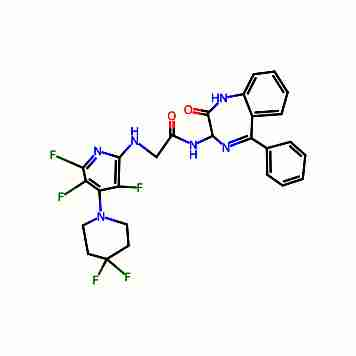 O=C(CNc1nc(F)c(F)c(N2CCC(F)(F)CC2)c1F)NC1N=C(c2ccccc2)c2ccccc2NC1=O